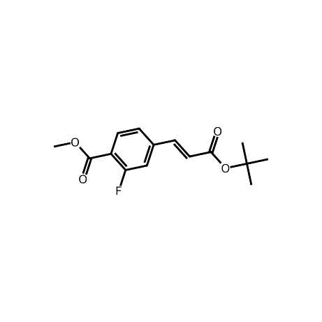 COC(=O)c1ccc(/C=C/C(=O)OC(C)(C)C)cc1F